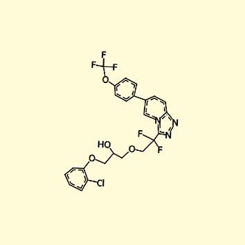 OC(COCC(F)(F)c1nnc2ccc(-c3ccc(OC(F)(F)F)cc3)cn12)COc1ccccc1Cl